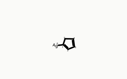 [Ag][C]1=CC=CC1